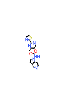 Cc1nc(-c2nccs2)ncc1OC(=O)Nn1ccc2cnccc21